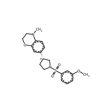 COc1cccc(S(=O)(=O)N2CC[C@H](c3ccc4c(c3)OCCN4C)C2)c1